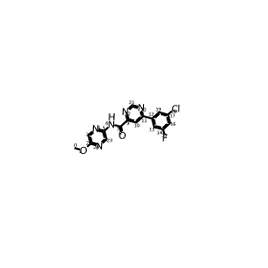 COc1cnc(NC(=O)c2cc(-c3cc(F)cc(Cl)c3)ncn2)cn1